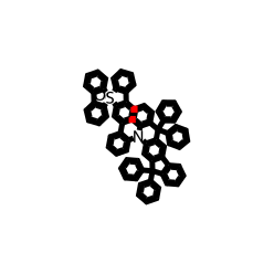 O=S12(c3ccccc3-c3ccccc31)c1ccccc1-c1ccc(-c3ccccc3N3c4ccccc4C(c4ccccc4)(c4ccccc4)c4cc5c(cc43)C(c3ccccc3)(c3ccccc3)c3ccccc3-5)cc12